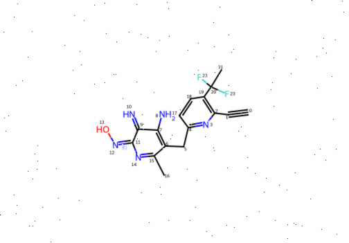 C#Cc1nc(CC2=C(N)C(=N)/C(=N\O)N=C2C)ccc1C(C)(F)F